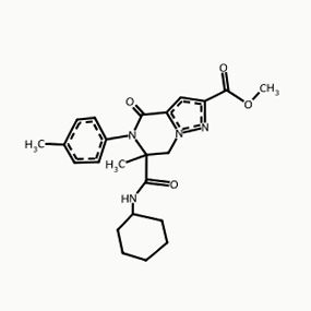 COC(=O)c1cc2n(n1)CC(C)(C(=O)NC1CCCCC1)N(c1ccc(C)cc1)C2=O